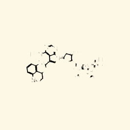 CC(C)CC(OCc1cn([C@H]2C[C@@H](O)[C@@H](COP(=O)(O)OP(=O)(O)OP(=O)(O)O)O2)c2ncnc(N)c12)c1c([N+](=O)[O-])cccc1[N+](=O)[O-]